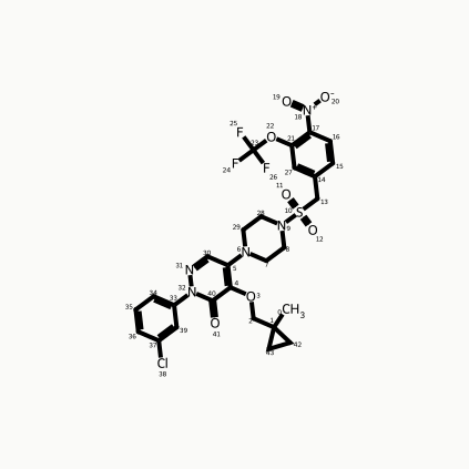 CC1(COc2c(N3CCN(S(=O)(=O)Cc4ccc([N+](=O)[O-])c(OC(F)(F)F)c4)CC3)cnn(-c3cccc(Cl)c3)c2=O)CC1